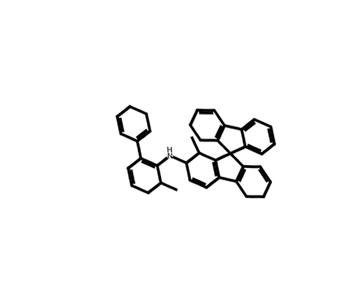 CC1CC=CC(C2=CCCC=C2)=C1NC1C=CC2=C(C1C)C1(C3=C2CCC=C3)C2=C(C=CCC2)c2ccccc21